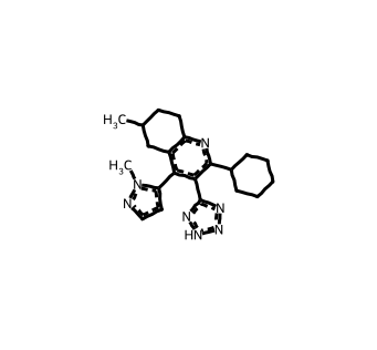 CC1CCc2nc(C3CCCCC3)c(-c3nn[nH]n3)c(-c3ccnn3C)c2C1